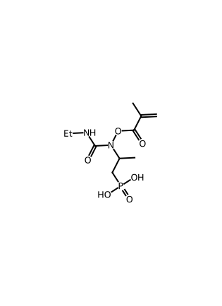 C=C(C)C(=O)ON(C(=O)NCC)C(C)CP(=O)(O)O